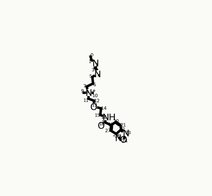 CCN=C=NCCC[N+](C)(C)CCOCCNC(=O)c1ccc2nonc2c1